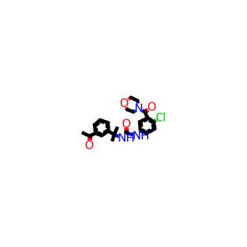 CC(=O)c1cccc(C(C)(C)NC(=O)Nc2ccc(Cl)c(C(=O)N3CCOCC3)c2)c1